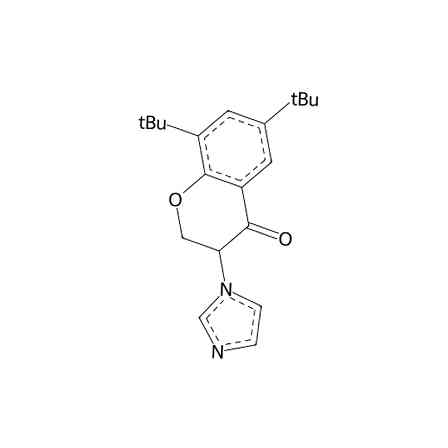 CC(C)(C)c1cc2c(c(C(C)(C)C)c1)OCC(n1ccnc1)C2=O